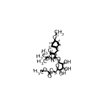 CCOc1ccc(Cc2c(O[C@@H]3O[C@H](COC(=O)OC)[C@@H](O)[C@H](O)[C@H]3O)nn(C(C)C)c2C)cc1